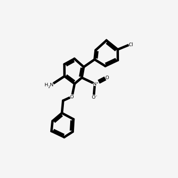 Nc1ccc(-c2ccc(Cl)cc2)c([N+](=O)[O-])c1OCc1ccccc1